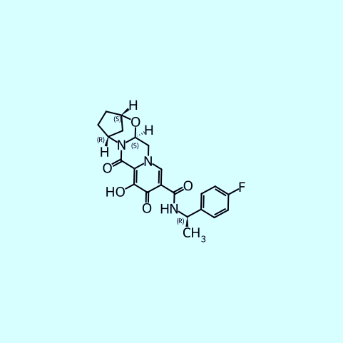 C[C@@H](NC(=O)c1cn2c(c(O)c1=O)C(=O)N1[C@@H]3CC[C@@H](C3)O[C@H]1C2)c1ccc(F)cc1